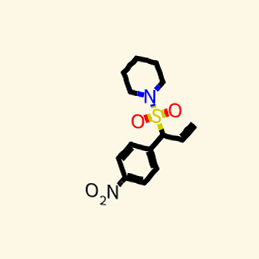 C=CC(c1ccc([N+](=O)[O-])cc1)S(=O)(=O)N1CCCCC1